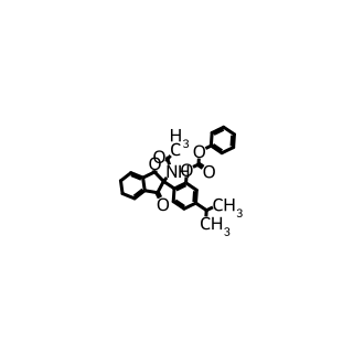 CC(=O)NC1(c2ccc(C(C)C)cc2OC(=O)Oc2ccccc2)C(=O)C2=CCCC=C2C1=O